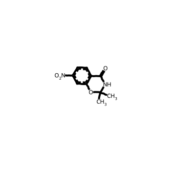 CC1(C)NC(=O)c2ccc([N+](=O)[O-])cc2O1